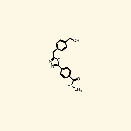 CNC(=O)c1ccc(-c2nnc(Cc3ccc(CO)cc3)o2)cc1